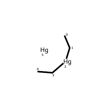 C[CH2][Hg][CH2]C.[Hg]